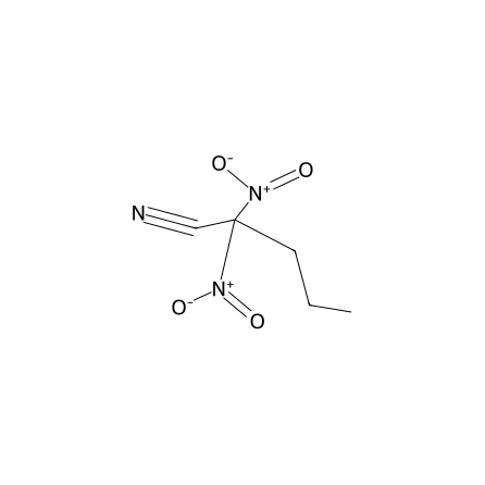 CCCC(C#N)([N+](=O)[O-])[N+](=O)[O-]